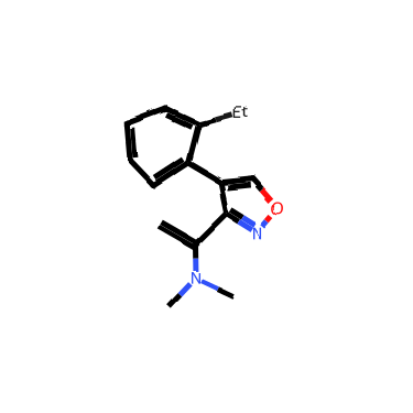 C=C(c1nocc1-c1ccccc1CC)N(C)C